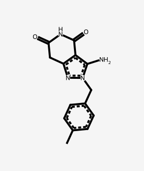 Cc1ccc(Cn2nc3c(c2N)C(=O)NC(=O)C3)cc1